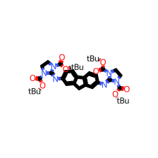 CC(C)(C)OC(=O)N1CCN(C(=O)OC(C)(C)C)C1=Nc1ccc2c(c1)Cc1cc(N=C3N(C(=O)OC(C)(C)C)CCN3C(=O)OC(C)(C)C)ccc1-2